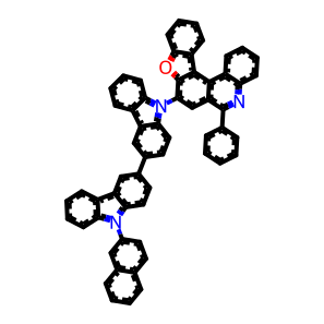 c1ccc(-c2nc3ccccc3c3c2cc(-n2c4ccccc4c4cc(-c5ccc6c(c5)c5ccccc5n6-c5ccc6ccccc6c5)ccc42)c2oc4ccccc4c23)cc1